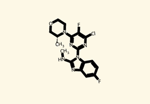 CNc1nc2cc(F)ccc2n1-c1nc(Cl)c(F)c(N2CCOC[C@H]2C)n1